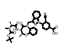 C[C@@H]1Oc2ccccc2N(Cc2nn(-c3ccc(C(=O)O)cc3C#N)c3ccccc23)C(=O)[C@H]1NC(=O)[C@H](C)N(C)C(=O)OC(C)(C)C